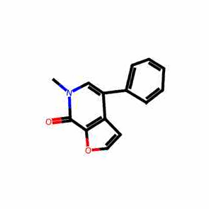 Cn1cc(-c2[c]cccc2)c2ccoc2c1=O